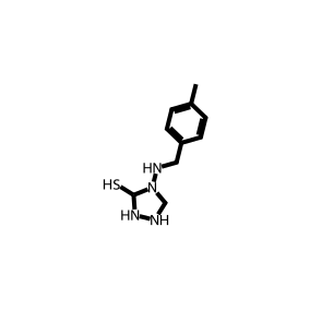 Cc1ccc(CNN2CNNC2S)cc1